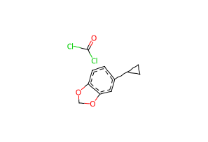 O=C(Cl)Cl.c1cc2c(cc1C1CC1)OCO2